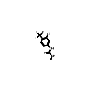 CNC(=O)Nc1ccc(C(F)(F)F)c(Cl)c1